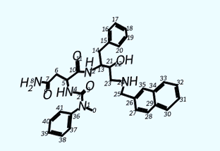 CN(C(=O)NC(CC(N)=O)C(=O)NC(Cc1ccccc1)C(O)CNCc1ccc2ccccc2c1)c1ccccc1